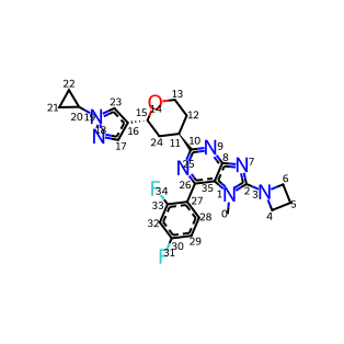 Cn1c(N2CCC2)nc2nc([C@@H]3CCO[C@@H](c4cnn(C5CC5)c4)C3)nc(-c3ccc(F)cc3F)c21